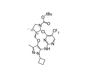 Cc1nn(C2CCC2)c(Nc2ncc(C(F)(F)F)c(Cl)n2)c1OC[C@@H]1CN(C(=O)OC(C)(C)C)C[C@H]1C